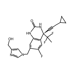 CC(F)(F)[C@@]1(C#CC2CC2)NC(=O)Nc2cc(Cn3cnc(CO)c3)c(F)cc21